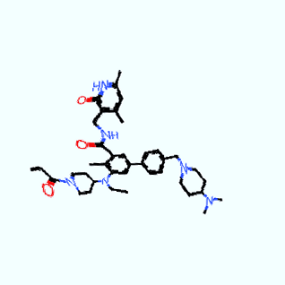 C=CC(=O)N1CCC(N(CC)c2cc(-c3ccc(CN4CCC(N(C)C)CC4)cc3)cc(C(=O)NCc3c(C)cc(C)[nH]c3=O)c2C)CC1